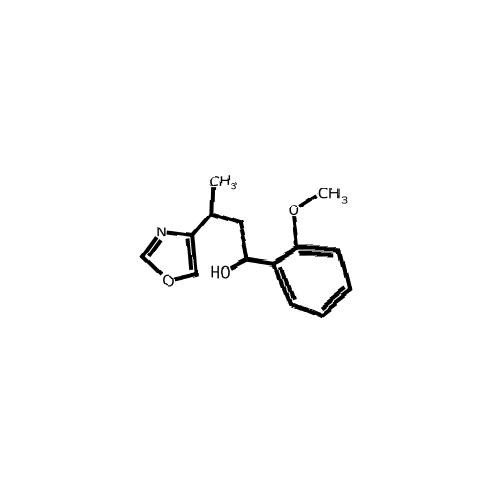 COc1ccccc1C(O)CC(C)c1cocn1